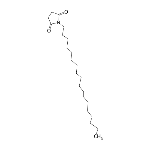 CCCCCCCCCCCCCCCCCCN1C(=O)CCC1=O